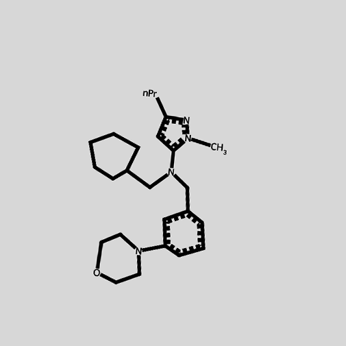 CCCc1cc(N(Cc2cccc(N3CCOCC3)c2)CC2CCCCC2)n(C)n1